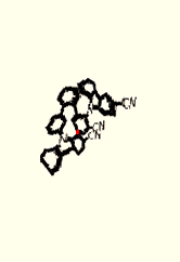 N#Cc1ccc2c(c1)c1ccccc1n2-c1c(C#N)cccc1-c1ccccc1-c1cccc(-n2c3ccccc3c3ccc(C#N)cc32)c1